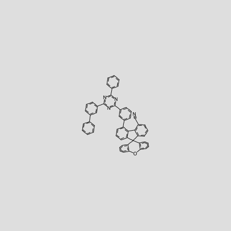 N#Cc1cccc2c1-c1c(-c3cccc(-c4nc(-c5ccccc5)nc(-c5cccc(-c6ccccc6)c5)n4)c3)cccc1C21c2ccccc2Oc2ccccc21